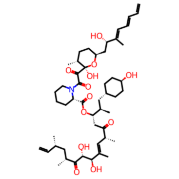 C=C/C=C/C=C(\C)[C@@H](O)C[C@@H]1CC[C@@H](C)[C@](O)(C(=O)C(=O)N2CCCC[C@H]2C(=O)O[C@@H](CC(=O)[C@H](C)/C=C(\C)[C@@H](O)[C@@H](O)C(=O)[C@H](C)C[C@@H](C)C=C)[C@H](C)C[C@H]2CC[C@H](O)CC2)O1